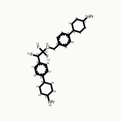 CCCC1CCC(c2ccc(COC(F)(F)C(F)c3ccc(C4CCC(CCC)CC4)cc3)cc2)CC1